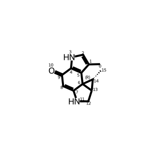 Cc1c[nH]c2c1C13C(=CC2=O)NCC1[C@H]3C